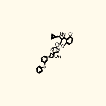 OC1(c2cnc(OCC3C(c4c(Cl)cccc4Cl)=NOC3C3CC3)cn2)CC(c2cccc(Sc3ccccc3)c2)C1